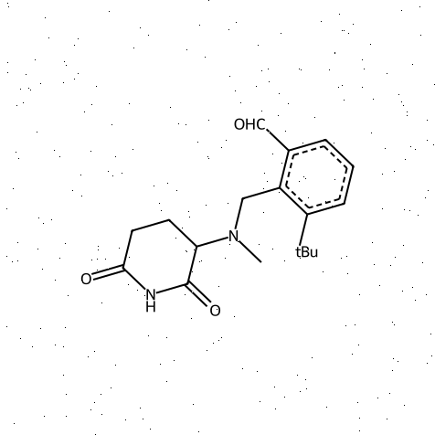 CN(Cc1c(C=O)cccc1C(C)(C)C)C1CCC(=O)NC1=O